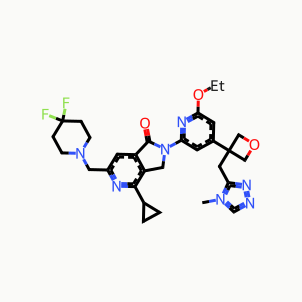 CCOc1cc(C2(Cc3nncn3C)COC2)cc(N2Cc3c(cc(CN4CCC(F)(F)CC4)nc3C3CC3)C2=O)n1